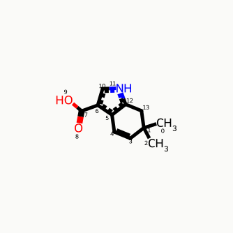 CC1(C)C=Cc2c(C(=O)O)c[nH]c2C1